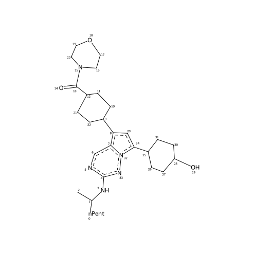 CCCCCC(C)Nc1ncc2c(C3CCC(C(=O)N4CCOCC4)CC3)cc(C3CCC(O)CC3)n2n1